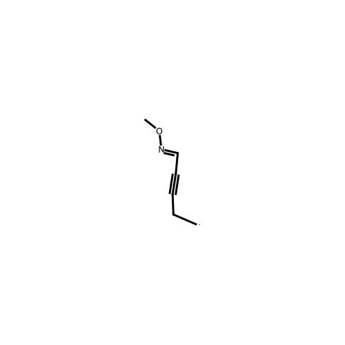 [CH2]CC#CC=NOC